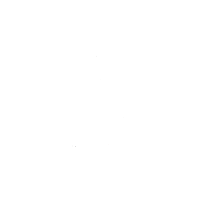 CCCc1ccc(OCC(C)I)c2c(=O)cc(C(=O)OCC)oc12